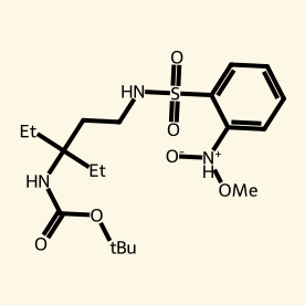 CCC(CC)(CCNS(=O)(=O)c1ccccc1[NH+]([O-])OC)NC(=O)OC(C)(C)C